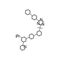 CC(C)c1cc(-c2ccc(-c3cccc(C(C)(C)c4ncnc(-c5ccc(-c6ccccc6)cc5)n4)c3)cc2)cc(-c2ccccn2)c1